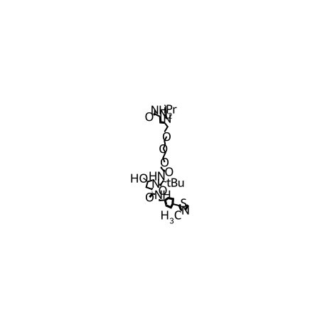 Cc1ncsc1-c1ccc(CNC(=O)[C@@H]2C[C@@H](O)CN2C(=O)[C@@H](NC(=O)COCCOCCOCCc2cc(C(N)=O)n(C(C)C)n2)C(C)(C)C)cc1